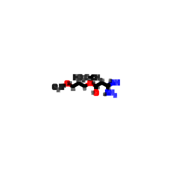 CC(=O)O.N=C(N)CC(=O)OCCCO[N+](=O)[O-]